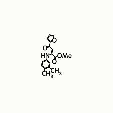 COC(=O)/C(=C/C(=O)c1ccco1)Nc1ccc(C)c(C)c1